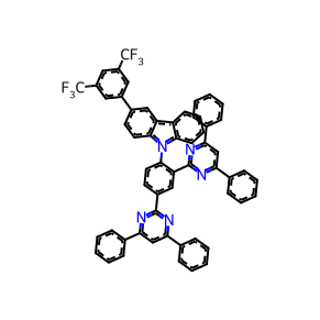 FC(F)(F)c1cc(-c2ccc3c(c2)c2ccccc2n3-c2ccc(-c3nc(-c4ccccc4)cc(-c4ccccc4)n3)cc2-c2nc(-c3ccccc3)cc(-c3ccccc3)n2)cc(C(F)(F)F)c1